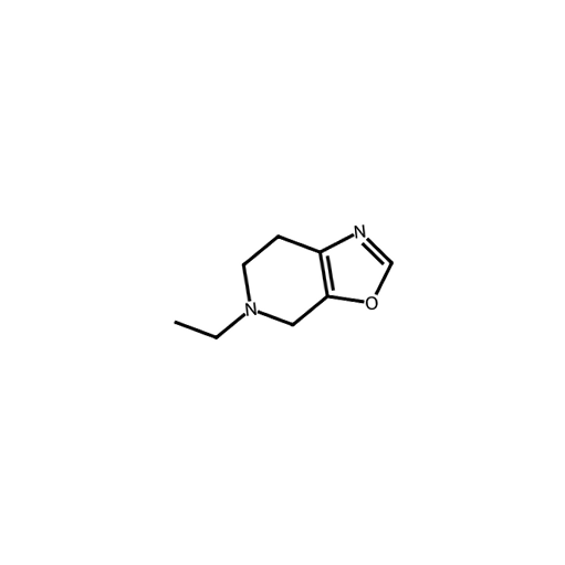 CCN1CCc2ncoc2C1